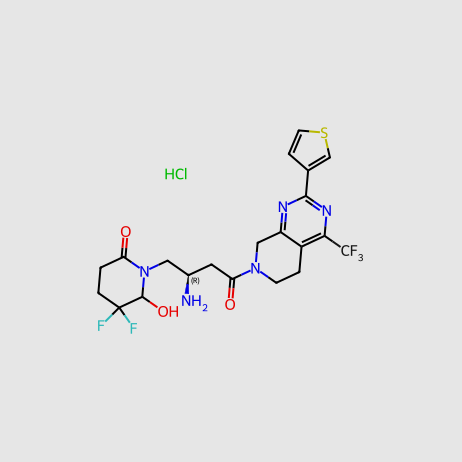 Cl.N[C@H](CC(=O)N1CCc2c(nc(-c3ccsc3)nc2C(F)(F)F)C1)CN1C(=O)CCC(F)(F)C1O